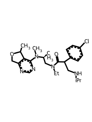 CCN(C[C@H](C)N(C)c1ncnc2c1C(C)OC2)C(=O)C(CNC(C)C)c1ccc(Cl)cc1